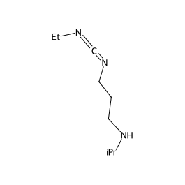 CCN=C=NCCCNC(C)C